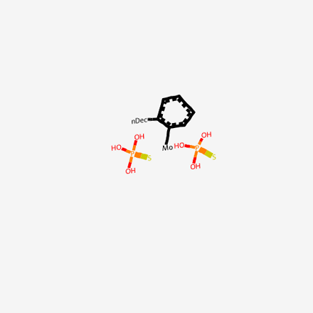 CCCCCCCCCCc1cccc[c]1[Mo].OP(O)(O)=S.OP(O)(O)=S